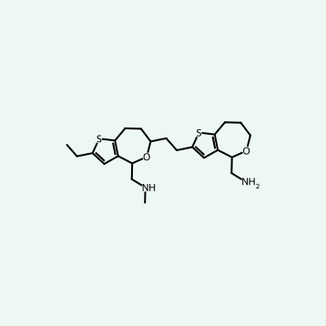 CCc1cc2c(s1)CCC(CCc1cc3c(s1)CCCOC3CN)OC2CNC